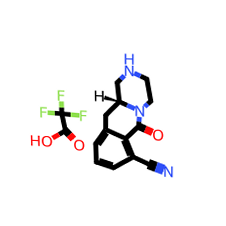 N#Cc1cccc2c1C(=O)N1CCNC[C@H]1C2.O=C(O)C(F)(F)F